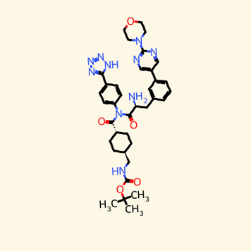 CC(C)(C)OC(=O)NC[C@H]1CC[C@H](C(=O)N(C(=O)[C@@H](N)Cc2cccc(-c3cnc(N4CCOCC4)nc3)c2)c2ccc(-c3nnn[nH]3)cc2)CC1